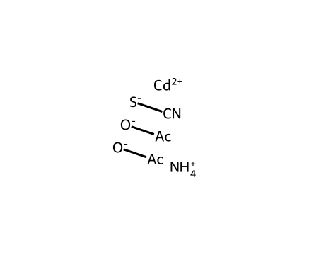 CC(=O)[O-].CC(=O)[O-].N#C[S-].[Cd+2].[NH4+]